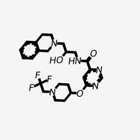 O=C(NCC(O)CN1CCc2ccccc2C1)c1cc(OC2CCN(CC(F)(F)F)CC2)ncn1